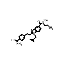 CCCCN(CCN)C(=O)c1ccc2c(c1)nc(CCc1ccc(C(=N)N)cc1)n2CC1CC1